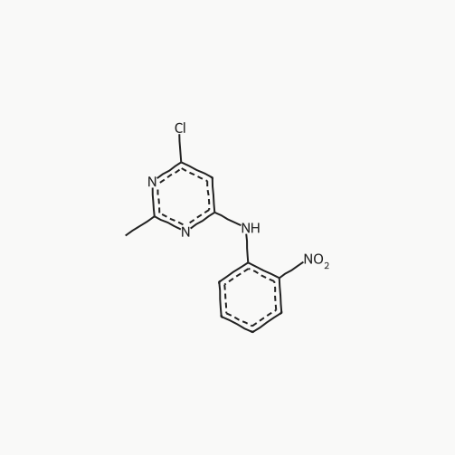 Cc1nc(Cl)cc(Nc2ccccc2[N+](=O)[O-])n1